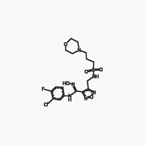 O=S(=O)(CCCN1CCOCC1)NCc1nonc1C(=NO)Nc1ccc(F)c(Cl)c1